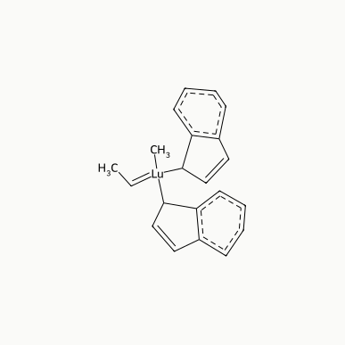 C[CH]=[Lu]([CH3])([CH]1C=Cc2ccccc21)[CH]1C=Cc2ccccc21